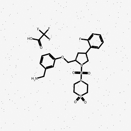 NCc1cccc(OCC2CC(c3ccccc3F)CN2S(=O)(=O)N2CCS(=O)(=O)CC2)c1.O=C(O)C(F)(F)F